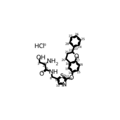 Cl.N[C@@H](CO)C(=O)NCc1cnc(Oc2ccc3c(c2)CCC(c2ccccc2)O3)s1